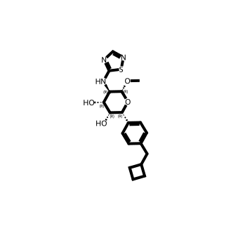 CO[C@@H]1O[C@H](c2ccc(CC3CCC3)cc2)[C@H](O)[C@H](O)[C@H]1Nc1ncns1